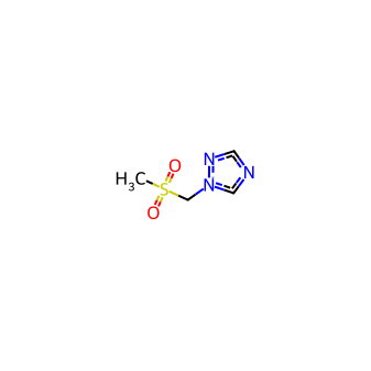 CS(=O)(=O)Cn1cncn1